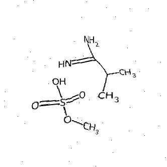 CC(C)C(=N)N.COS(=O)(=O)O